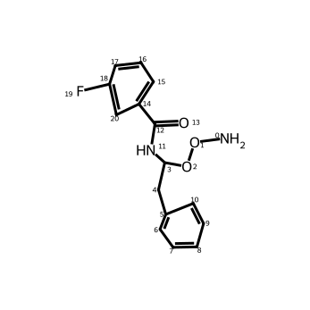 NOOC(Cc1ccccc1)NC(=O)c1cccc(F)c1